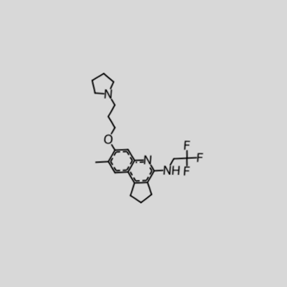 Cc1cc2c3c(c(NCC(F)(F)F)nc2cc1OCCCN1CCCC1)CCC3